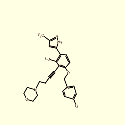 Oc1c(-c2cc(C(F)(F)F)n[nH]2)ccc(OCc2ccc(Cl)cc2)c1C#CCCN1CCOCC1